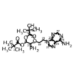 CC(C)(C)C(=O)OC(OC(=O)C(C)(C)C)C(P)OCCn1cnc2c(N)ncnc21